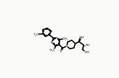 CC[C@H](CO)C(=N)C1CCN(C(=O)c2c(C)nc(-c3cccc(C(F)(F)F)c3)nc2C)CC1